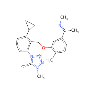 CN=C(C)c1ccc(C)c(OCc2c(C3CC3)cccc2-n2nnn(C)c2=O)c1